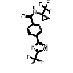 CN(C(=O)c1ccc(-c2noc(C(F)(F)F)n2)cc1)C1(C(F)(F)F)CC1